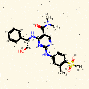 Cc1cc(Nc2ncc(C(=O)N(C)C)c(N[C@H](CO)c3ccccc3)n2)ccc1S(C)(=O)=O